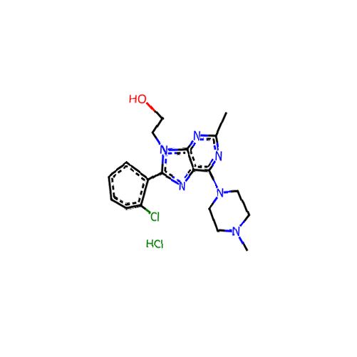 Cc1nc(N2CCN(C)CC2)c2nc(-c3ccccc3Cl)n(CCO)c2n1.Cl